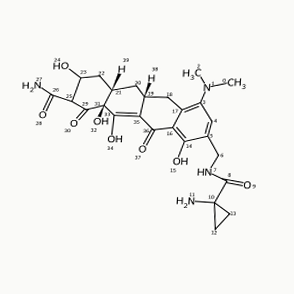 CN(C)c1cc(CNC(=O)C2(N)CC2)c(O)c2c1C[C@H]1C[C@H]3CC(O)C(C(N)=O)C(=O)[C@@]3(O)C(O)=C1C2=O